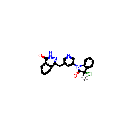 O=C1N(c2cncc(Cc3n[nH]c(=O)c4ccccc34)c2)c2ccccc2C1(Cl)C(F)(F)F